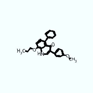 CCCOc1ccc(-c2ccccc2)c2c(=O)c(-c3ccc(OC)cc3)c[nH]c12